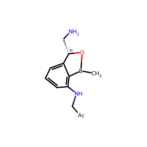 CB1O[C@@H](CN)c2cccc(NCC(C)=O)c21